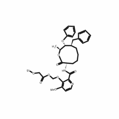 CCOCC(=O)OCOc1c(OC)ccnc1C(=O)N[C@H]1CCCC[C@H](Cc2ccccc2)[C@@H](Oc2ccccc2)[C@H](C)OC1=O